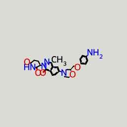 Cc1nn(C2CCC(=O)NC2=O)c(=O)c2ccc(N3CCO[C@H](COc4ccc(N)cc4)C3)cc12